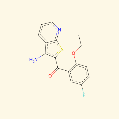 CCOc1ccc(F)cc1C(=O)c1sc2ncccc2c1N